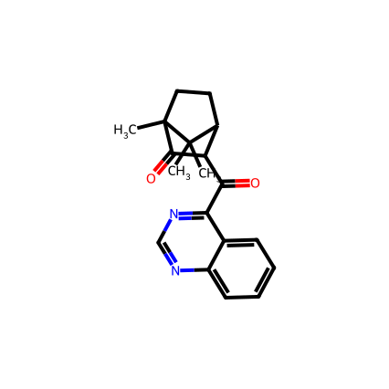 CC12CCC(C(C(=O)c3ncnc4ccccc34)C1=O)C2(C)C